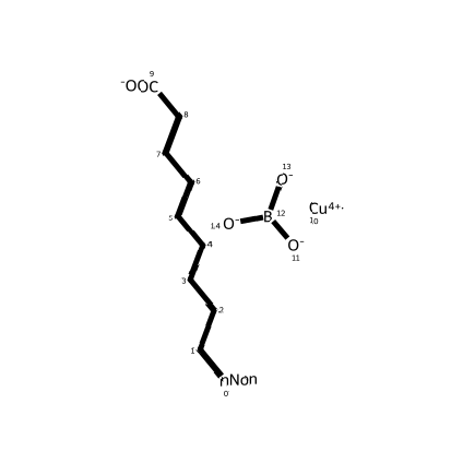 CCCCCCCCCCCCCCCCCC(=O)[O-].[Cu+4].[O-]B([O-])[O-]